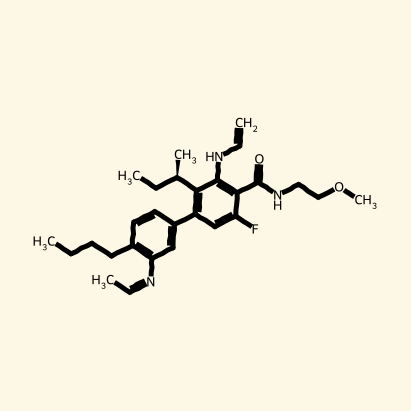 C=CNc1c(C(=O)NCCOC)c(F)cc(-c2ccc(CCCC)c(/N=C\C)c2)c1[C@H](C)CC